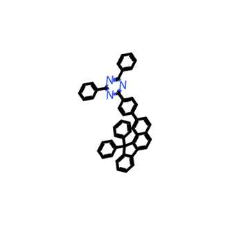 c1ccc(-c2nc(-c3ccccc3)nc(-c3ccc(-c4ccc5ccc6c(c5c4)C(c4ccccc4)(c4ccccc4)c4ccccc4-6)cc3)n2)cc1